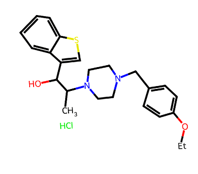 CCOc1ccc(CN2CCN(C(C)C(O)c3csc4ccccc34)CC2)cc1.Cl